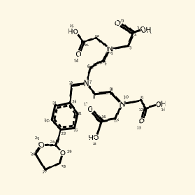 O=C(O)CN(CCN(CCN(CC(=O)O)CC(=O)O)Cc1ccc(C2OCCCO2)cc1)CC(=O)O